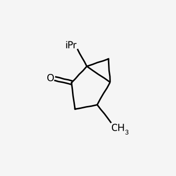 CC1CC(=O)C2(C(C)C)CC12